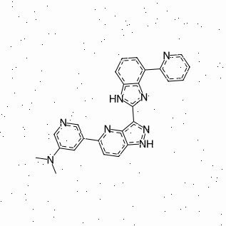 CN(C)c1cncc(-c2ccc3[nH]nc(-c4nc5c(-c6ccccn6)cccc5[nH]4)c3n2)c1